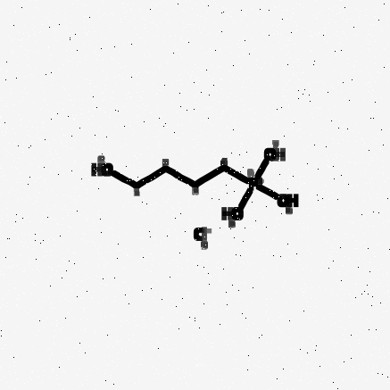 OCCCC[P+](O)(O)O.[Cl-]